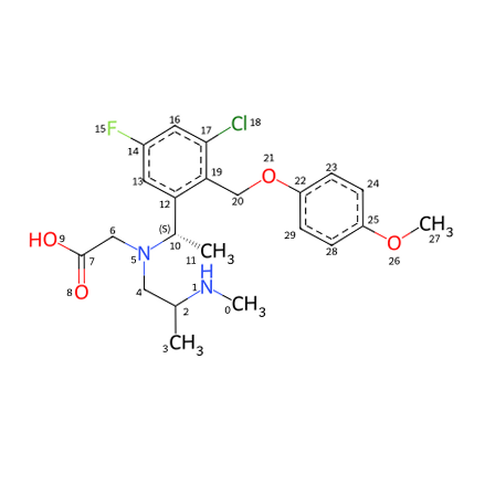 CNC(C)CN(CC(=O)O)[C@@H](C)c1cc(F)cc(Cl)c1COc1ccc(OC)cc1